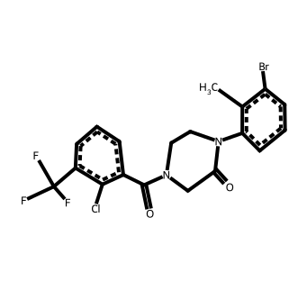 Cc1c(Br)cccc1N1CCN(C(=O)c2cccc(C(F)(F)F)c2Cl)CC1=O